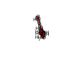 Nc1nc2c(ncn2[C@@H]2O[C@@H]3COP(=O)(O)O[C@H]4[C@@H](O)[C@H](n5cnc6c(NC(=O)CCOCCOCCOCCOCCNC(=O)CCN7C(=O)C=CC7=O)ncnc65)O[C@@H]4COP(=O)(O)O[C@H]3[C@H]2O)c(=O)[nH]1